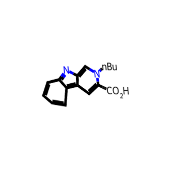 CCCCn1cc2nc3ccccc3c-2cc1C(=O)O